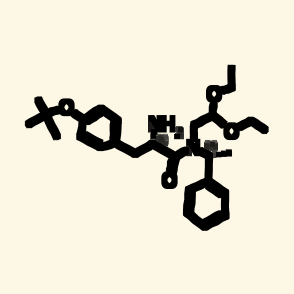 CCOC(CN(C(=O)[C@@H](N)Cc1ccc(OC(C)(C)C)cc1)[C@H](C)c1ccccc1)OCC